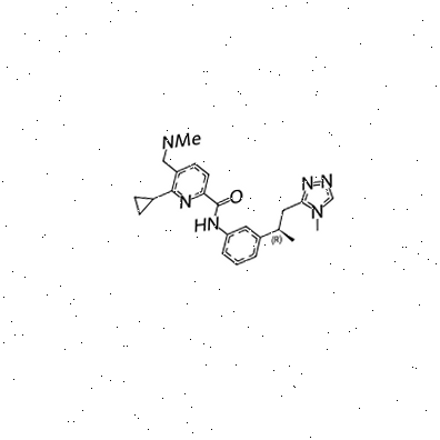 CNCc1ccc(C(=O)Nc2cccc([C@H](C)Cc3nncn3C)c2)nc1C1CC1